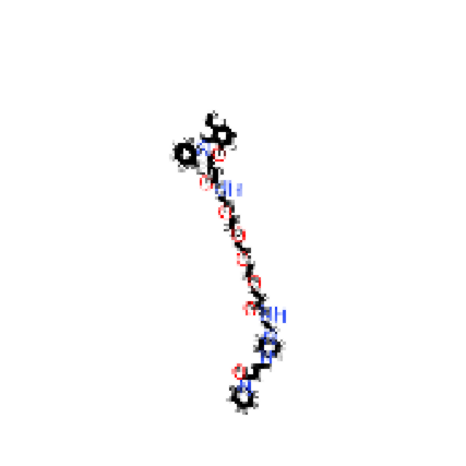 C=Cc1ccccc1CN(C(=O)CCC(=O)NCCOCCOCCOCCOCCC(=O)NCCN1CCN(C/C=C/C(=O)N2CCCCC2)CC1)c1ccccc1CC